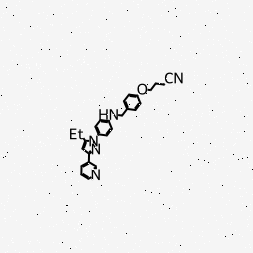 CCc1cc(-c2cccnc2)nn1-c1ccc(NCc2ccc(OCCCC#N)cc2)cc1